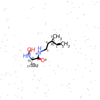 C=C[C@H](C)CCNC(=O)[C@@H](NO)C(C)(C)C